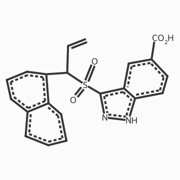 C=CC(c1cccc2ccccc12)S(=O)(=O)c1n[nH]c2ccc(C(=O)O)cc12